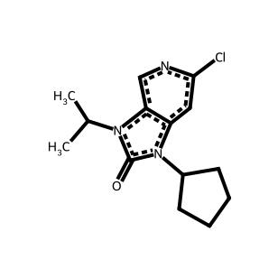 CC(C)n1c(=O)n(C2CCCC2)c2cc(Cl)ncc21